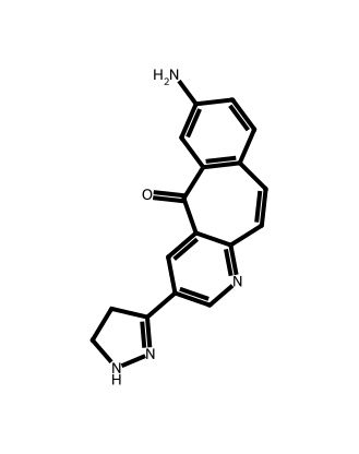 Nc1ccc2ccc3ncc(C4=NNCC4)cc3c(=O)c2c1